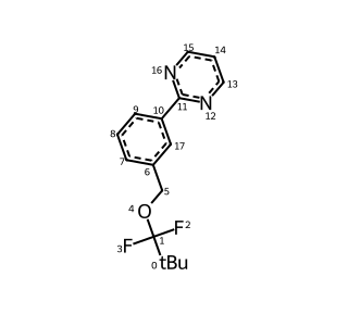 CC(C)(C)C(F)(F)OCc1cccc(-c2ncccn2)c1